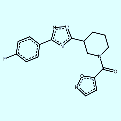 O=C(c1ccno1)N1CCCC(c2nc(-c3ccc(F)cc3)no2)C1